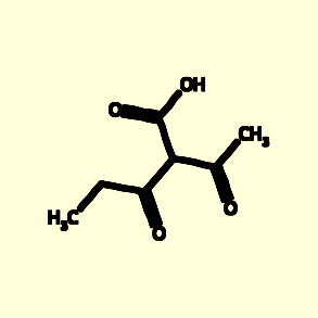 CCC(=O)C(C(C)=O)C(=O)O